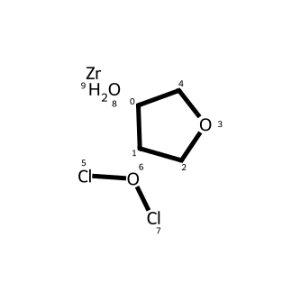 C1CCOC1.ClOCl.O.[Zr]